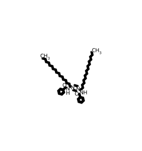 CCCCCCCCCCCCCCCCCC(NC(=O)c1ccccc1)N1CCN(C(CCCCCCCCCCCCCCCCC)NC(=O)c2ccccc2)CC1